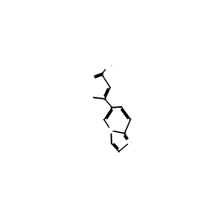 COC(=O)/C=C(\C)c1ccc2nccn2c1